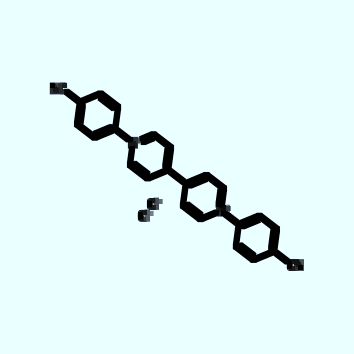 N#Cc1ccc(-[n+]2ccc(-c3cc[n+](-c4ccc(C#N)cc4)cc3)cc2)cc1.[Cl-].[Cl-]